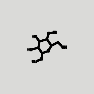 CCOC1C(CO)OC(OC(C)(C)C)C(O)C1O